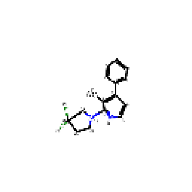 N#Cc1c(-c2ccccc2)ccnc1N1CCC(F)(F)C1